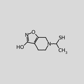 CC(S)N1CCc2c(O)noc2C1